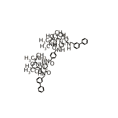 CN[C@@H](C)C(=O)N[C@H](C(=O)N1C[C@@H](NC(=O)c2ccc(C(=O)N[C@H]3C[C@@H](C(=O)NCc4cccc(-c5ccccc5)c4)N(C(=O)[C@@H](NC(=O)[C@H](C)NC)C(C)(C)C)C3)cc2)C[C@H]1C(=O)NCc1cccc(-c2ccccc2)c1)C(C)(C)C